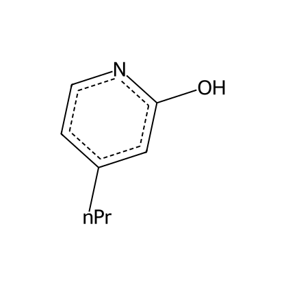 CCCc1ccnc(O)c1